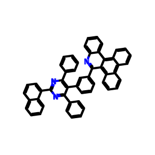 c1ccc(-c2nc(-c3cccc4ccccc34)nc(-c3ccccc3)c2-c2cccc(-c3nc4ccccc4c4c5ccccc5c5ccccc5c34)c2)cc1